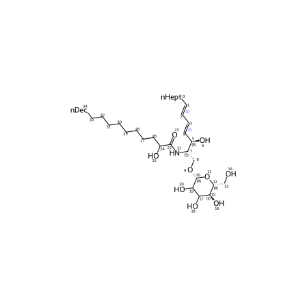 CCCCCCC/C=C/C=C/[C@@H](O)[C@H](CO[C@@H]1O[C@H](CO)[C@@H](O)C(O)C1O)NC(=O)C(O)CCCCCCCCCCCCCCCCCC